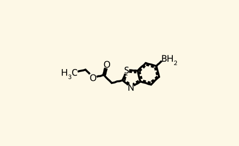 Bc1ccc2nc(CC(=O)OCC)sc2c1